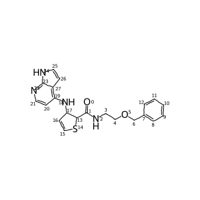 O=C(NCCOCc1ccccc1)C1SC=CC1Nc1ccnc2[nH]ccc12